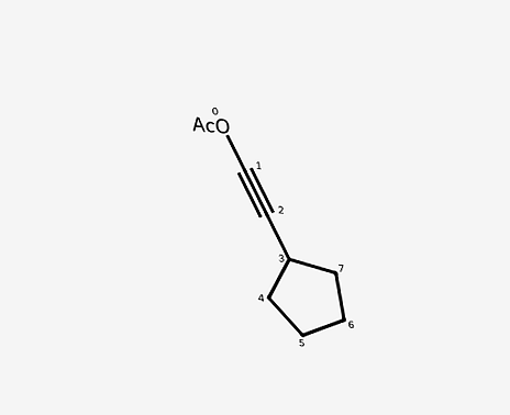 CC(=O)OC#CC1CCCC1